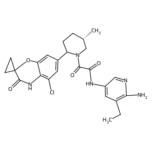 CCc1cc(NC(=O)C(=O)N2C[C@@H](C)CCC2c2cc(Cl)c3c(c2)OC2(CC2)C(=O)N3)cnc1N